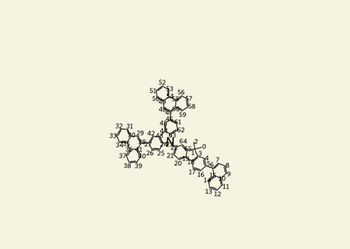 CC1(C)c2cc(-c3cccc4ccccc34)ccc2-c2ccc(-n3c4ccc(-c5cc6ccccc6c6ccccc56)cc4c4cc(-c5cc6ccccc6c6ccccc56)ccc43)cc21